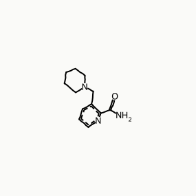 NC(=O)c1ncccc1CN1CCCCC1